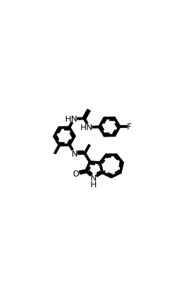 C=C(Nc1ccc(F)cc1)Nc1ccc(C)c(/N=C(\C)c2c3cccccc-3[nH]c2=O)c1